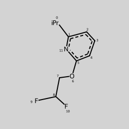 CC(C)c1cccc(OCC(F)F)n1